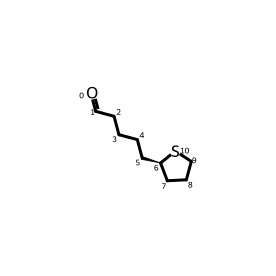 O=CCCCC[C@@H]1CCCS1